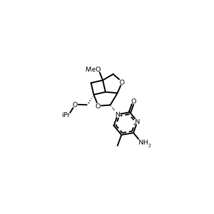 COC12COC3C1[C@](COC(C)C)(C2)O[C@H]3n1cc(C)c(N)nc1=O